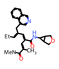 CC/C=C(/C=C(\C=C(/C)C(=O)NC)C(=O)NC1C2COCC21)Cc1cncc2ccccc12